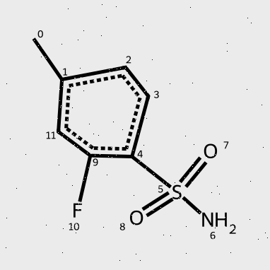 Cc1ccc(S(N)(=O)=O)c(F)c1